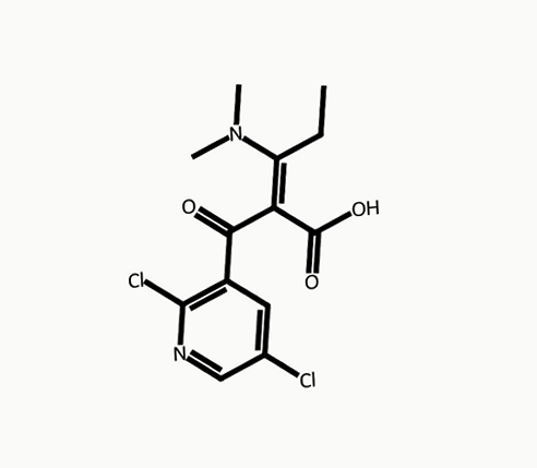 CCC(=C(C(=O)O)C(=O)c1cc(Cl)cnc1Cl)N(C)C